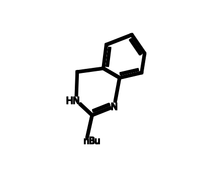 CCCCC1=Nc2ccccc2CN1